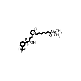 CC(C)OC(=O)CCCCCCN1C(=O)CC[C@@H]1C=C[C@@H](O)C(F)(F)c1cccc(C(F)(F)F)c1